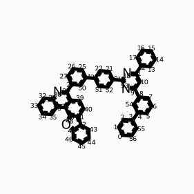 c1ccc(-c2cccc(-c3cc(-c4ccccc4)nc(-c4ccc(-c5cccc(-c6nc7ccccc7c7c6ccc6c8ccccc8oc67)c5)cc4)n3)c2)cc1